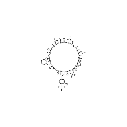 CC[C@H](C)[C@@H]1NC(=O)[C@H](CC(C)C)N(C)C(=O)C[C@@H](C)N(C)C(=O)[C@H]([C@@H](C)CC)N(C)C(=O)C2(CCC2)NC(=O)[C@@H]2CC(F)(F)CN2C(=O)[C@H](CCc2ccc(C(F)(F)F)c(Cl)c2)NC(=O)CN(C)C(=O)[C@H](CC2CCCCC2)N(C)C(=O)CN(C)C(=O)CN(C)C1=O